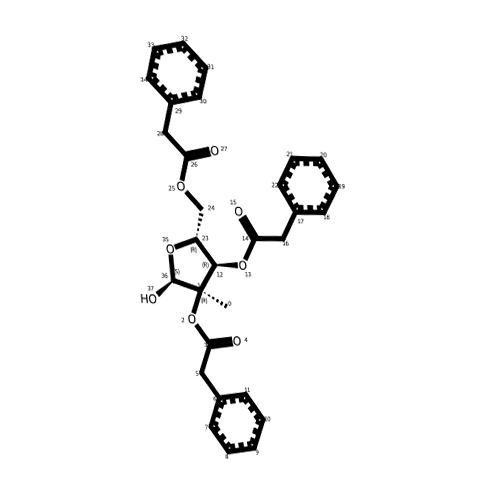 C[C@@]1(OC(=O)Cc2ccccc2)[C@H](OC(=O)Cc2ccccc2)[C@@H](COC(=O)Cc2ccccc2)O[C@@H]1O